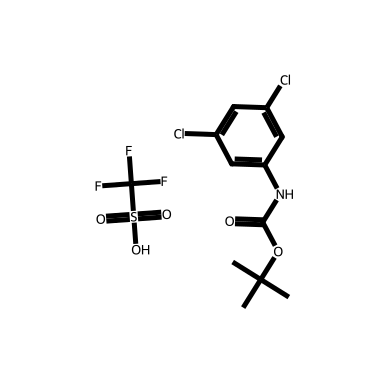 CC(C)(C)OC(=O)Nc1cc(Cl)cc(Cl)c1.O=S(=O)(O)C(F)(F)F